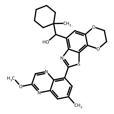 COc1cnc2c(-c3nc4c(C(O)C5(C)CCCCC5)cc5c(c4s3)OCCO5)cc(C)cc2n1